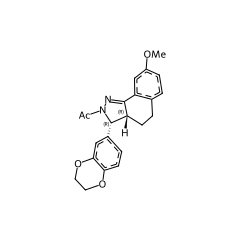 COc1ccc2c(c1)C1=NN(C(C)=O)[C@@H](c3ccc4c(c3)OCCO4)[C@H]1CC2